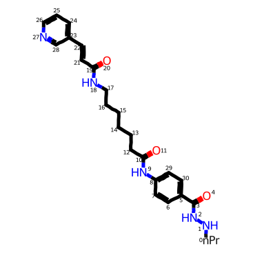 CCCNNC(=O)c1ccc(NC(=O)CCCCCCNC(=O)C=Cc2cccnc2)cc1